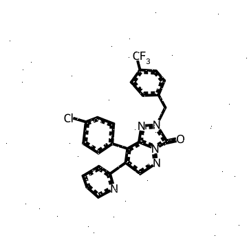 O=c1n(Cc2ccc(C(F)(F)F)cc2)nc2c(-c3ccc(Cl)cc3)c(-c3ccccn3)cnn12